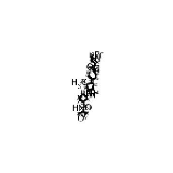 CCCn1cc(S(=O)(=O)N2CC=C(c3cc4cnn(-c5cccc(C(=O)NC6CCOC6)c5)c4cc3C)CC2)cn1